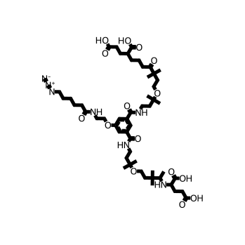 CC(NC(CCC(=O)O)C(=O)O)C(C)(C)CCOC(C)(C)CCNC(=O)c1cc(OCCNC(=O)CCCCCN=[N+]=[N-])cc(C(=O)NCCC(C)(C)OCCC(C)(C)C(=O)CCCC(CCC(=O)O)C(=O)O)c1